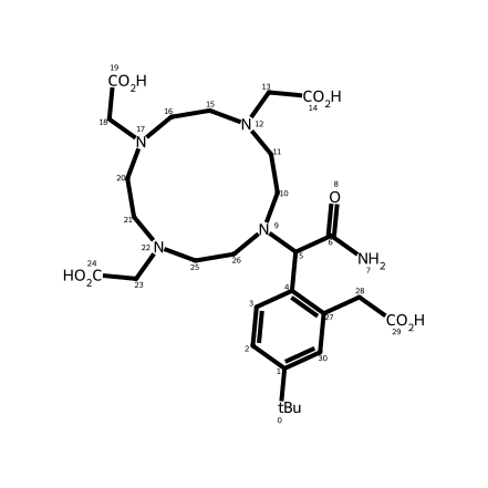 CC(C)(C)c1ccc(C(C(N)=O)N2CCN(CC(=O)O)CCN(CC(=O)O)CCN(CC(=O)O)CC2)c(CC(=O)O)c1